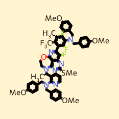 COc1ccc(CN(Cc2ccc(OC)cc2)c2ncccc2[C@@H](C)N2CCOc3nc(-c4c(F)c(N(Cc5ccc(OC)cc5)Cc5ccc(OC)cc5)c(F)c(C)c4C(F)(F)F)c(F)c4nc(SC)nc2c34)cc1